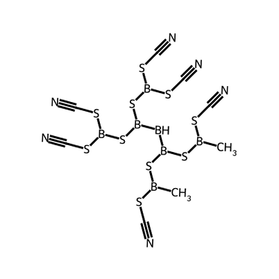 CB(SC#N)SB(BB(SB(SC#N)SC#N)SB(SC#N)SC#N)SB(C)SC#N